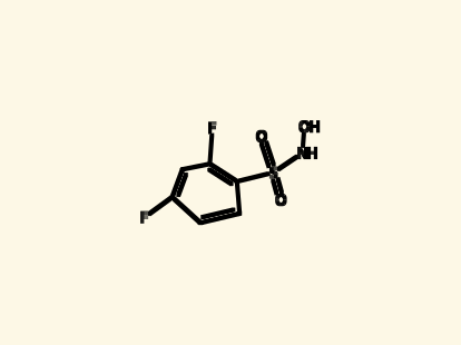 O=S(=O)(NO)c1ccc(F)cc1F